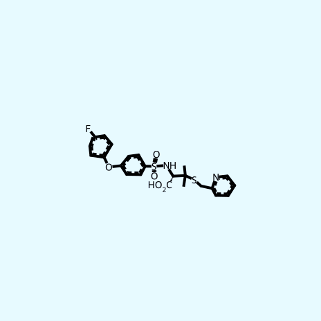 CC(C)(SCc1ccccn1)[C@@H](NS(=O)(=O)c1ccc(Oc2ccc(F)cc2)cc1)C(=O)O